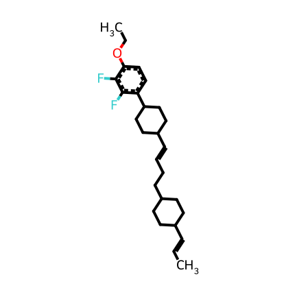 C/C=C/C1CCC(CC/C=C/C2CCC(c3ccc(OCC)c(F)c3F)CC2)CC1